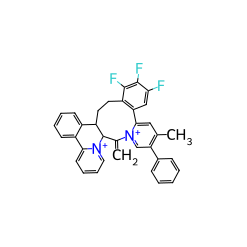 C=C1C2C(CCc3c(cc(F)c(F)c3F)-c3cc(C)c(-c4ccccc4)c[n+]31)c1ccccc1-c1cccc[n+]12